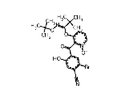 CC(C)(C)O/N=C(\Oc1ccc[n+]([O-])c1C(=O)c1cc(Br)c(C#N)cc1O)C(C)(C)C